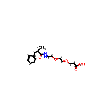 CC(Cc1ccccc1)C(=O)NCCOCCOCCC(=O)O